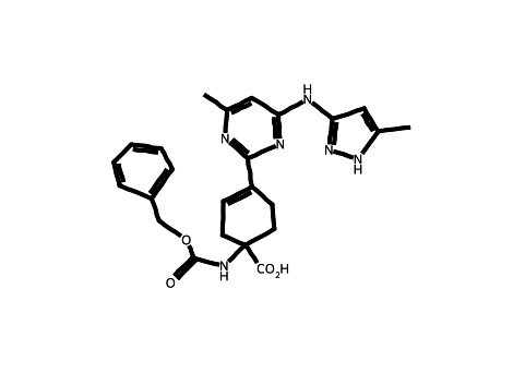 Cc1cc(Nc2cc(C)[nH]n2)nc(C2=CCC(NC(=O)OCc3ccccc3)(C(=O)O)CC2)n1